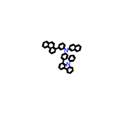 c1ccc(-n2c3ccccc3c3cccc(-c4ccc(N(c5cccc(-c6cccc7c6ccc6ccccc67)c5)c5ccc6ccccc6c5)cc4)c32)cc1